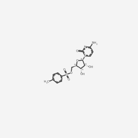 Cc1ccc(S(=O)(=O)OC[C@H]2O[C@@H](n3ccc(N)nc3=O)[C@H](O)[C@@H]2O)cc1